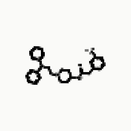 Cc1cccc(CC(=O)NC2CCN(CCC(c3ccccc3)c3ccccc3)CC2)c1